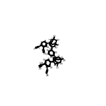 C#Cc1ccc(C23CC4(C)CC(C)(CC(c5cccc(C67CC8(C)CC(C)(C6)CC(c6ccc(C#C)c(C#C)c6)(C8)C7)c5)(C4)C2)C3)cc1C#C